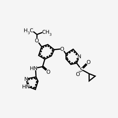 CC(C)Oc1cc(Oc2ccc(S(=O)(=O)C3CC3)nc2)cc(C(=O)Nc2cc[nH]n2)c1